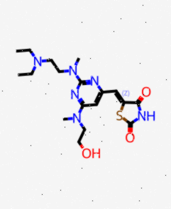 CCN(CC)CCN(C)c1nc(/C=C2\SC(=O)NC2=O)cc(N(C)CCO)n1